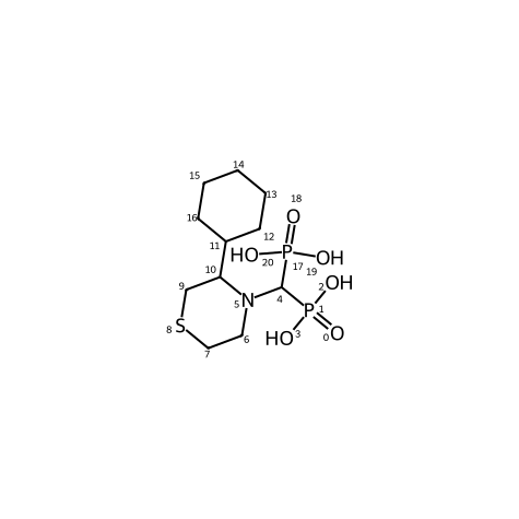 O=P(O)(O)C(N1CCSCC1C1CCCCC1)P(=O)(O)O